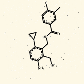 Cc1cc(C(=O)NCc2c(C3CC3)ccc(N)c2CN)ccc1F